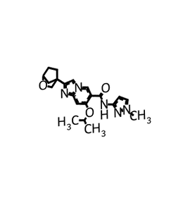 CC(C)Oc1cc2nc(C34CCC(C3)OC4)cn2cc1C(=O)Nc1ccn(C)n1